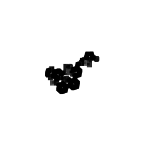 Cc1cc2nccnc2c(Nc2cccc(-c3cccc(-c4ccc(CNC[C@@H]5CCC(=O)N5)c(O)n4)c3Cl)c2C)n1